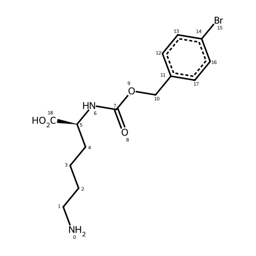 NCCCC[C@H](NC(=O)OCc1ccc(Br)cc1)C(=O)O